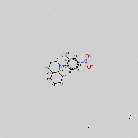 O=[N+]([O-])c1ccc(N2CCCC3CCCCC32)c(Cl)c1